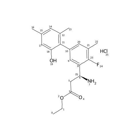 CCOC(=O)C[C@H](N)c1cc(-c2c(C)cc(C)cc2O)cc(C)c1F.Cl